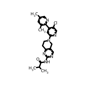 Cc1cnc(-c2cc(N3CCc4nc(NC(=O)C(C)C)ncc4C3)ncc2Cl)c(C)c1